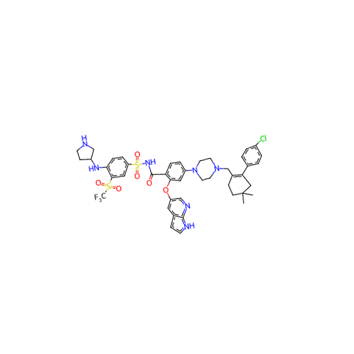 CC1(C)CCC(CN2CCN(c3ccc(C(=O)NS(=O)(=O)c4ccc(NC5CCNC5)c(S(=O)(=O)C(F)(F)F)c4)c(Oc4cnc5[nH]ccc5c4)c3)CC2)=C(c2ccc(Cl)cc2)C1